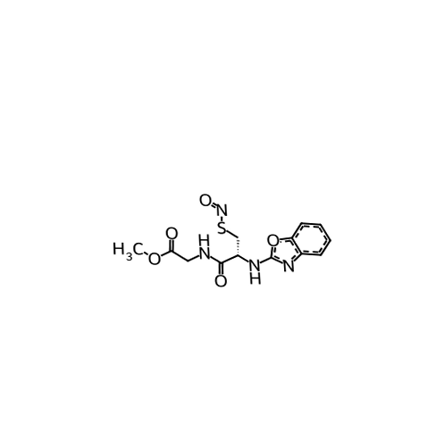 COC(=O)CNC(=O)[C@H](CSN=O)Nc1nc2ccccc2o1